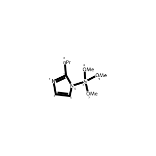 CCCc1nccn1[Si](OC)(OC)OC